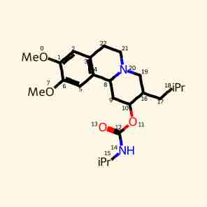 COc1cc2c(cc1OC)C1CC(OC(=O)NC(C)C)C(CC(C)C)CN1CC2